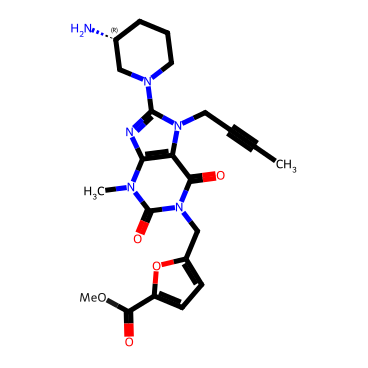 CC#CCn1c(N2CCC[C@@H](N)C2)nc2c1c(=O)n(Cc1ccc(C(=O)OC)o1)c(=O)n2C